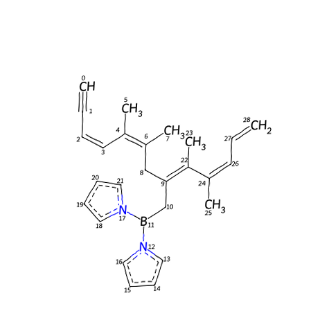 C#C/C=C\C(C)=C(\C)C/C(CB(n1cccc1)n1cccc1)=C(C)/C(C)=C\C=C